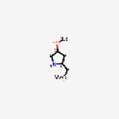 CCOC1C[N]C(COC)C1